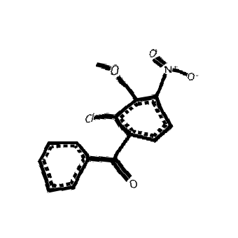 COc1c([N+](=O)[O-])ccc(C(=O)c2ccccc2)c1Cl